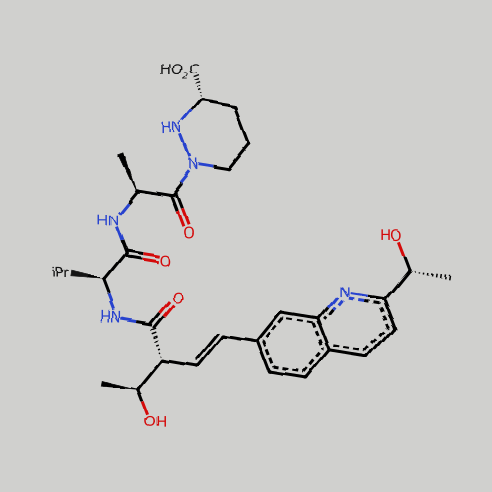 CC(C)[C@H](NC(=O)[C@H](/C=C/c1ccc2ccc([C@@H](C)O)nc2c1)[C@H](C)O)C(=O)N[C@@H](C)C(=O)N1CCC[C@@H](C(=O)O)N1